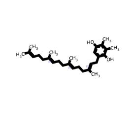 CC(C)=CCC/C(C)=C/CC/C(C)=C/CC/C(C)=C/Cc1cc(O)c(C)c(C)c1O